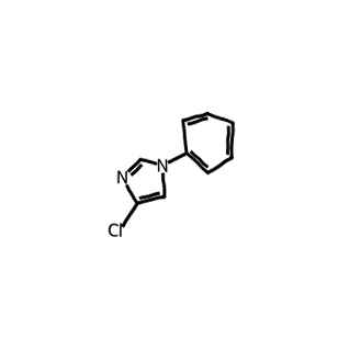 Clc1cn(-c2ccccc2)cn1